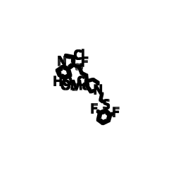 COc1ccc2ncc(Cl)c([C@@H](F)CCC3(C(=O)O)CCN(CCSc4c(F)cccc4F)CC3)c2c1